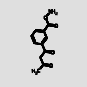 CC(=O)CC(=O)c1cccc(C(=O)ON)c1